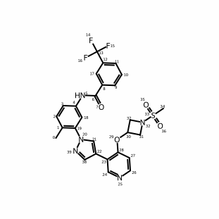 Cc1ccc(NC(=O)c2cccc(C(F)(F)F)c2)cc1-n1cc(-c2cnccc2OC2CN(S(C)(=O)=O)C2)cn1